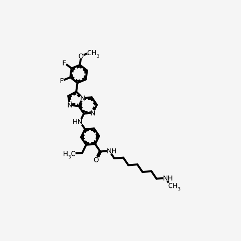 CCc1cc(Nc2nccn3c(-c4ccc(OC)c(F)c4F)cnc23)ccc1C(=O)NCCCCCCCNC